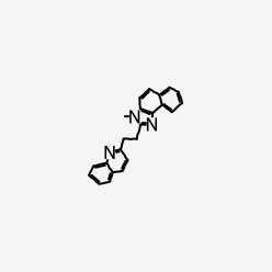 Cn1c(CCc2ccc3ccccc3n2)nc2c3ccccc3ccc21